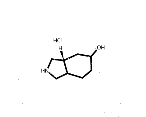 Cl.OC1CCC2CNC[C@@H]2C1